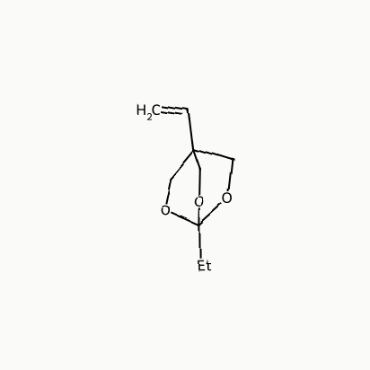 C=CC12COC(CC)(OC1)OC2